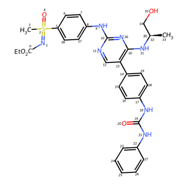 CCOC(=O)N=S(C)(=O)c1ccc(Nc2ncc(-c3ccc(NC(=O)Nc4ccccc4)cc3)c(N[C@H](C)CO)n2)cc1